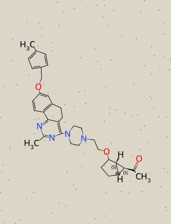 CC(=O)[C@H]1[C@@H]2CCC(OCCN3CCN(c4nc(C)nc5c4CCc4cc(OCc6ccc(C)cc6)ccc4-5)CC3)[C@@H]21